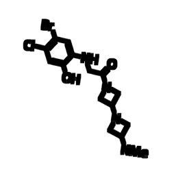 CNC1CN(C2CN(C(=O)CNc3cc(Br)c(Cl)cc3O)C2)C1